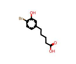 O=C(O)CCCCc1ccc(Br)c(O)c1